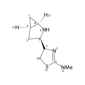 CNC1=NC([C@H]2C[C@H]3C[C@H]3N2)CS1